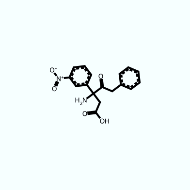 NC(CC(=O)O)(C(=O)Cc1ccccc1)c1cccc([N+](=O)[O-])c1